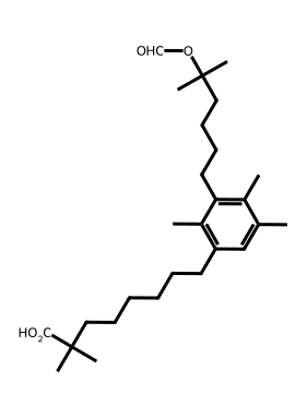 Cc1cc(CCCCCCC(C)(C)C(=O)O)c(C)c(CCCCC(C)(C)OC=O)c1C